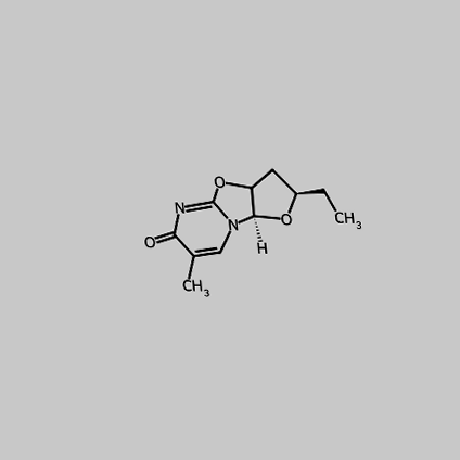 CC[C@@H]1CC2Oc3nc(=O)c(C)cn3[C@@H]2O1